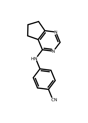 N#Cc1ccc(Nc2ncnc3c2CCC3)cc1